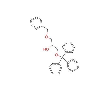 O[C@H](COCc1ccccc1)COC(c1ccccc1)(c1ccccc1)c1ccccc1